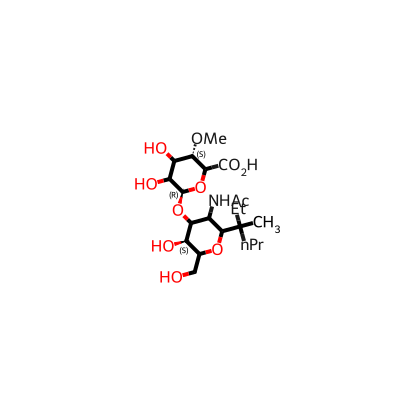 CCCC(C)(CC)C1OC(CO)[C@@H](O)C(O[C@@H]2OC(C(=O)O)[C@@H](OC)C(O)C2O)C1NC(C)=O